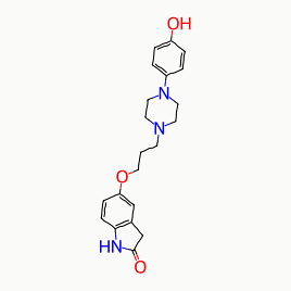 O=C1Cc2cc(OCCCN3CCN(c4ccc(O)cc4)CC3)ccc2N1